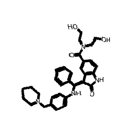 O=C1Nc2ccc(C(=O)N(CCO)CCO)cc2/C1=C(/Nc1ccc(CN2CCCCC2)cc1)c1ccccc1